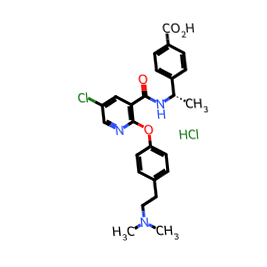 C[C@H](NC(=O)c1cc(Cl)cnc1Oc1ccc(CCN(C)C)cc1)c1ccc(C(=O)O)cc1.Cl